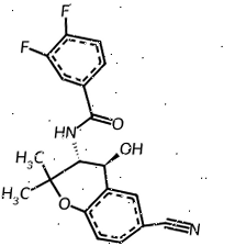 CC1(C)Oc2ccc(C#N)cc2[C@H](O)[C@H]1NC(=O)c1ccc(F)c(F)c1